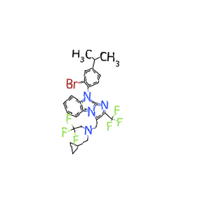 CC(C)c1ccc(-n2c3ccccc3n3c(CN(CC4CC4)CC(F)(F)F)c(C(F)(F)F)nc23)c(Br)c1